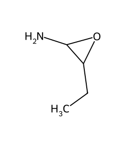 CCC1OC1N